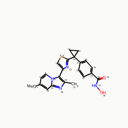 COc1ccn2c(-c3csc(C4(c5ccc(C(=O)NO)cc5)CC4)n3)c(C)nc2c1